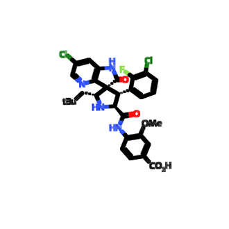 COc1cc(C(=O)O)ccc1NC(=O)[C@H]1N[C@H](CC(C)(C)C)[C@]2(C(=O)Nc3cc(Cl)cnc32)[C@@H]1c1cccc(Cl)c1F